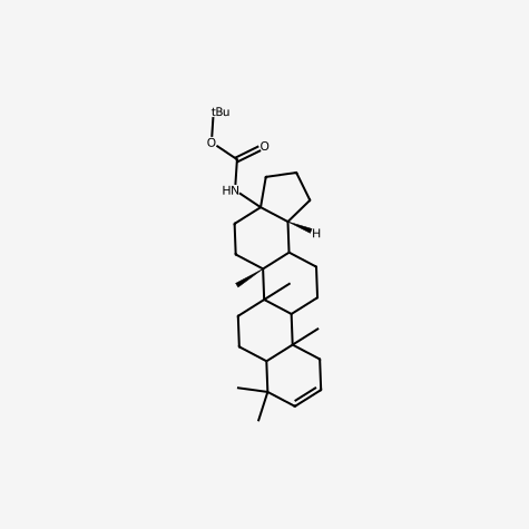 CC(C)(C)OC(=O)NC12CCC[C@@H]1C1CCC3C4(C)CC=CC(C)(C)C4CCC3(C)[C@]1(C)CC2